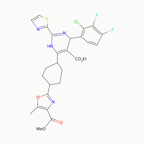 CCOC(=O)C1=C(C2CCC(c3nc(C(=O)OC)c(C)o3)CC2)NC(c2nccs2)=NC1c1ccc(F)c(F)c1Cl